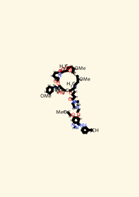 C#Cc1cccc(Nc2ncnc3cc(OCCOC)c(OCCN4CCN(C(=O)CCC[C@@H]5/C=C(\C)C[C@H](OC)CC[C@H]6O[C@@](O)(C(=O)C(=O)N7CCCC[C@H]7C(=O)O[C@H](/C(C)=C/[C@@H]7CCC[C@H](OC)C7)[C@H](C)[C@@H](O)CC5=O)[C@H](C)C[C@@H]6OC)CC4)cc23)c1